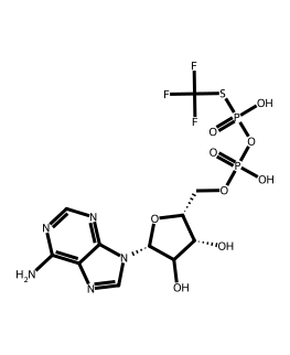 Nc1ncnc2c1ncn2[C@@H]1O[C@H](COP(=O)(O)OP(=O)(O)SC(F)(F)F)[C@H](O)C1O